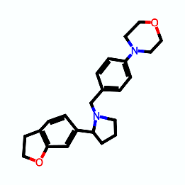 c1cc(N2CCOCC2)ccc1CN1CCCC1c1ccc2c(c1)OCC2